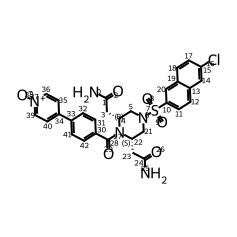 NC(=O)C[C@@H]1CN(S(=O)(=O)c2ccc3cc(Cl)ccc3c2)C[C@H](CC(N)=O)N1C(=O)c1ccc(-c2cc[n+]([O-])cc2)cc1